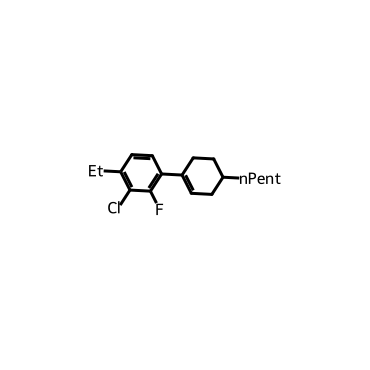 CCCCCC1CC=C(c2ccc(CC)c(Cl)c2F)CC1